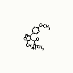 CNC(=O)c1c(-c2ccc(OC)cc2)noc1C